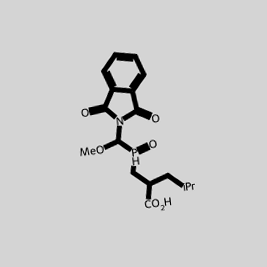 COC(N1C(=O)c2ccccc2C1=O)[PH](=O)CC(CC(C)C)C(=O)O